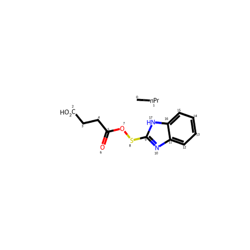 CCCC.O=C(O)CCC(=O)OSc1nc2ccccc2[nH]1